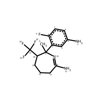 CC1(c2cc(N)ccc2F)N=C(N)CCCC1C(F)(F)F